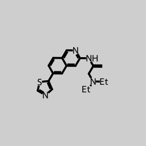 C=C(CN(CC)CC)Nc1cc2cc(-c3cncs3)ccc2cn1